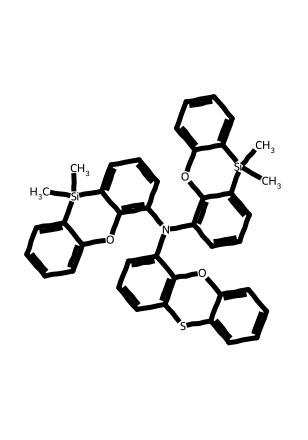 C[Si]1(C)c2ccccc2Oc2c(N(c3cccc4c3Oc3ccccc3S4)c3cccc4c3Oc3ccccc3[Si]4(C)C)cccc21